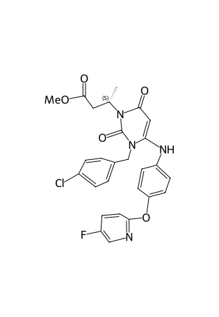 COC(=O)C[C@H](C)n1c(=O)cc(Nc2ccc(Oc3ccc(F)cn3)cc2)n(Cc2ccc(Cl)cc2)c1=O